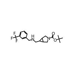 CC(C)(C)OC(=O)N1CC2C(CNCc3cccc(C(F)(F)F)c3)C2C1